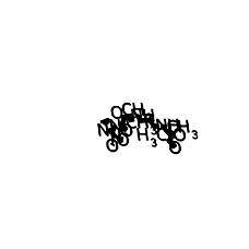 CC(C)(NCCCNC(C)(C)C(=O)C(=O)n1ccnc1[N+](=O)[O-])C(=O)C=O